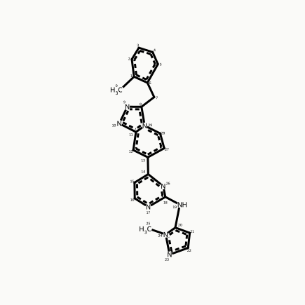 Cc1ccccc1Cc1nnc2cc(-c3ccnc(Nc4ccnn4C)n3)ccn12